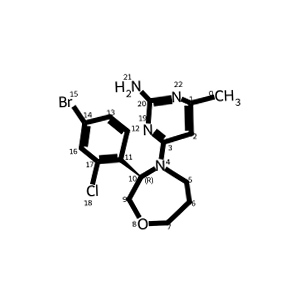 Cc1cc(N2CCCOC[C@H]2c2ccc(Br)cc2Cl)nc(N)n1